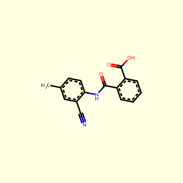 Cc1ccc(NC(=O)c2ccccc2C(=O)O)c(C#N)c1